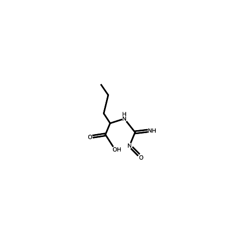 CCCC(NC(=N)N=O)C(=O)O